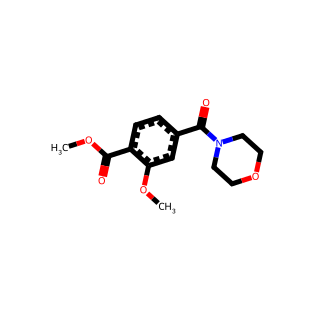 COC(=O)c1ccc(C(=O)N2CCOCC2)cc1OC